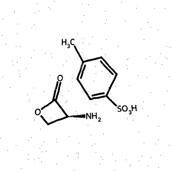 Cc1ccc(S(=O)(=O)O)cc1.N[C@H]1COC1=O